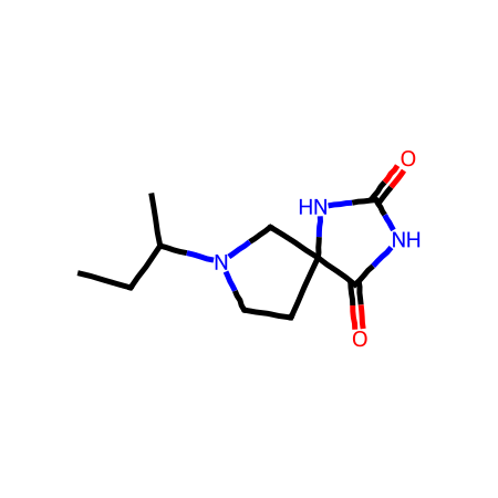 CCC(C)N1CCC2(C1)NC(=O)NC2=O